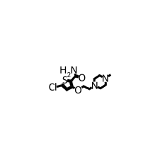 CN1CCN(CCOc2cc(Cl)sc2C(N)=O)CC1